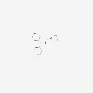 CC(=O)N1CCC(N(C(=O)NC2=NCC(F)S2)C2CCCCC2)CC1